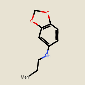 CNCCNc1ccc2c(c1)OCO2